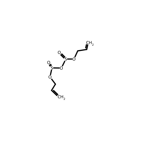 C=CCOS(=O)OS(=O)OCC=C